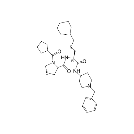 O=C(N[C@@H](CSCC1CCCCC1)C(=O)NC1CCN(Cc2ccccc2)CC1)C1CSCN1C(=O)C1CCCC1